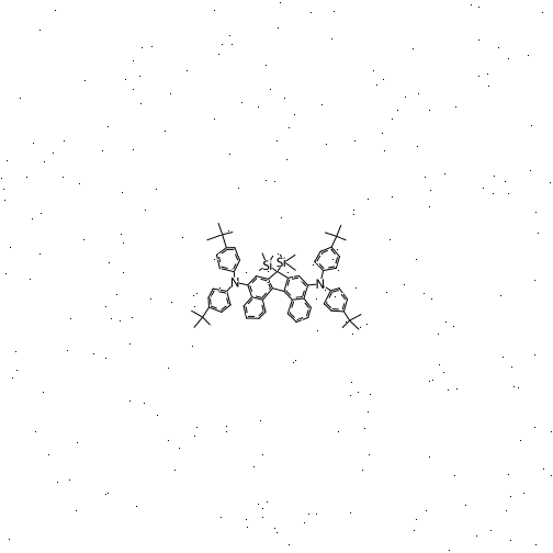 CC(C)(C)c1ccc(N(c2ccc(C(C)(C)C)cc2)c2cc3c(c4ccccc24)-c2c(cc(N(c4ccc(C(C)(C)C)cc4)c4ccc(C(C)(C)C)cc4)c4ccccc24)C3([Si](C)(C)C)[Si](C)(C)C)cc1